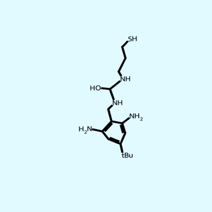 CC(C)(C)c1cc(N)c(CNC(O)NCCCS)c(N)c1